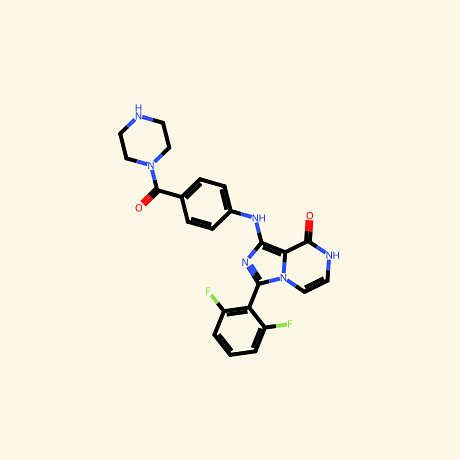 O=C(c1ccc(Nc2nc(-c3c(F)cccc3F)n3cc[nH]c(=O)c23)cc1)N1CCNCC1